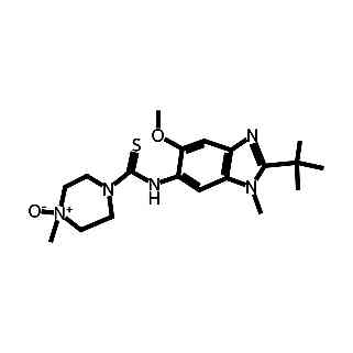 COc1cc2nc(C(C)(C)C)n(C)c2cc1NC(=S)N1CC[N+](C)([O-])CC1